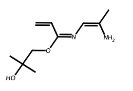 C=C/C(=N\C=C(\C)N)OCC(C)(C)O